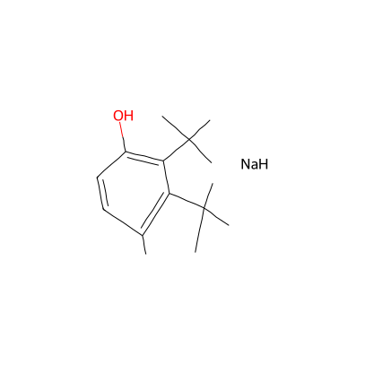 Cc1ccc(O)c(C(C)(C)C)c1C(C)(C)C.[NaH]